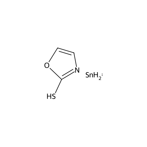 Sc1ncco1.[SnH2]